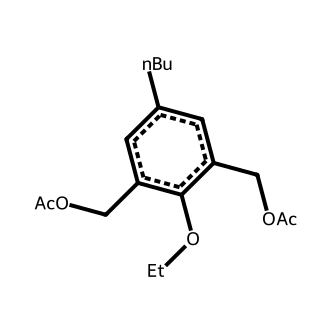 CCCCc1cc(COC(C)=O)c(OCC)c(COC(C)=O)c1